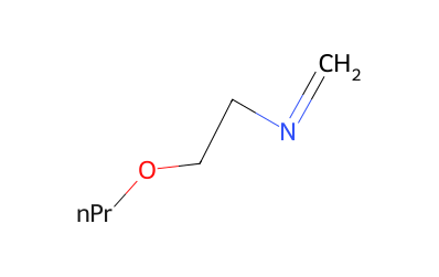 C=NCCOCCC